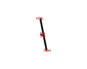 O=C(O)CCCCCCCCCCCCCCCCCCCCCCCCCCCCCCCCCCCCC(=O)O.OCCO